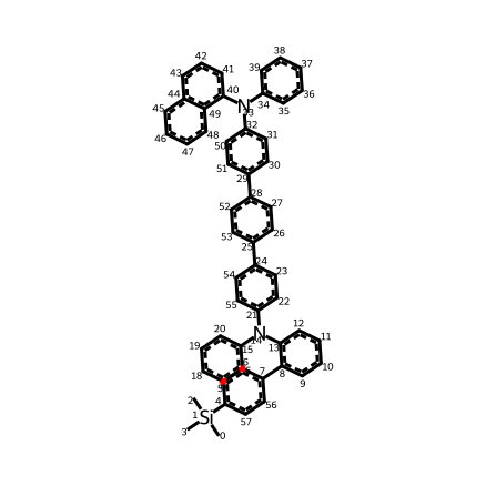 C[Si](C)(C)c1ccc(-c2ccccc2N(c2ccccc2)c2ccc(-c3ccc(-c4ccc(N(c5ccccc5)c5cccc6ccccc56)cc4)cc3)cc2)cc1